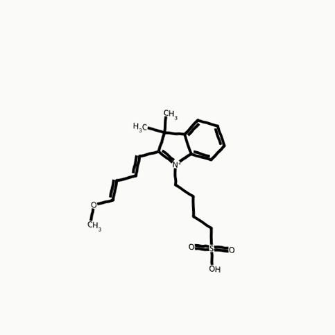 CO/C=C/C=C/C1=[N+](CCCCS(=O)(=O)O)c2ccccc2C1(C)C